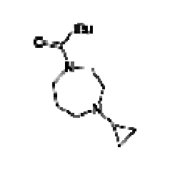 CC(C)(C)C(=O)N1CCCN(C2CC2)CC1